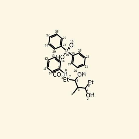 CCC(O)C(C)C(O)CC.O=C(O)c1ccccc1.O=P(O)(c1ccccc1)c1ccccc1